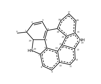 CC1C=CC2=C3c4c(ccc5ccc6[nH]c7cccc2c7c6c45)NC31